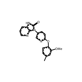 COc1cc(C)ccc1Oc1ccc(-n2c(=O)[nH]c3cccnc32)cn1